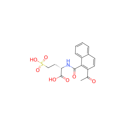 CC(=O)c1ccc2ccccc2c1C(=O)N[C@@H](CCS(=O)(=O)O)C(=O)O